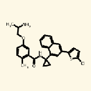 Cc1ccc(OCC(C)N)cc1C(=O)NC1(c2cc(-c3ccc(Cl)s3)cc3ccccc23)CC1